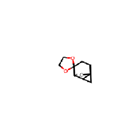 CC12CCC3(CC1C2)OCCO3